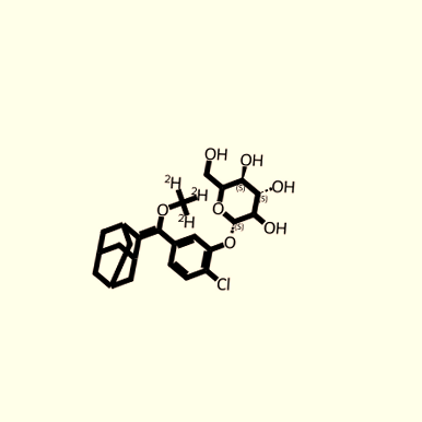 [2H]C([2H])([2H])OC(=C1C2CC3CC(C2)CC1C3)c1ccc(Cl)c(O[C@@H]2OC(CO)[C@@H](O)[C@H](O)C2O)c1